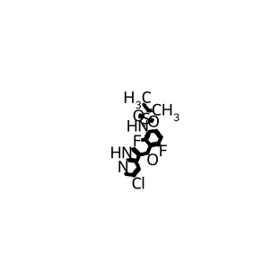 CCC(C)S(=O)(=O)Nc1ccc(F)c(C(=O)c2c[nH]c3ncc(Cl)cc23)c1F